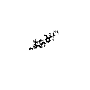 C=CCn1cc(-c2cnc3c(Nc4ccc(C(=O)N[C@@H](C)CN)c(CC)c4)nccn23)c(C(F)(F)F)n1